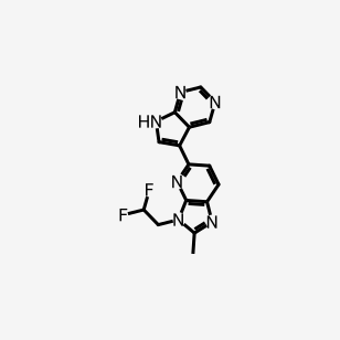 Cc1nc2ccc(-c3c[nH]c4ncncc34)nc2n1CC(F)F